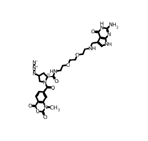 Cn1c(=O)oc(=O)c2ccc(C(=O)N3CC(N=[N+]=[N-])C[C@H]3C(=O)NCCOCCOCCNCc3c[nH]c4nc(N)[nH]c(=O)c34)cc21